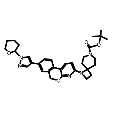 CC(C)(C)OC(=O)N1CCC2(CC1)CCN2c1ccc2c(n1)OCc1cc(-c3cnn(C4CCCCO4)c3)ccc1-2